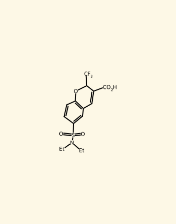 CCN(CC)S(=O)(=O)c1ccc2c(c1)C=C(C(=O)O)C(C(F)(F)F)O2